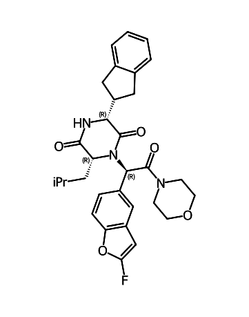 CC(C)C[C@@H]1C(=O)N[C@H](C2Cc3ccccc3C2)C(=O)N1[C@@H](C(=O)N1CCOCC1)c1ccc2oc(F)cc2c1